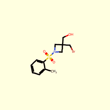 Cc1ccccc1S(=O)(=O)N1CC(CO)(CBr)C1